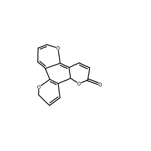 O=C1C=CC2=C3OC=CC=C3C3=C(C=CCO3)C2O1